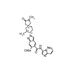 COc1cc2nn([C@H]3CC[C@]4(CC(=O)N(C)C4)C[C@@H]3C)cc2cc1C(=O)Nc1cnc2cccnn12